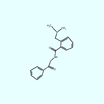 CN(C)Cc1ccccc1C(=O)NCC(=O)c1ccccc1